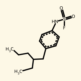 CCCC(CC)Cc1ccc(NS(=O)(=O)F)cc1